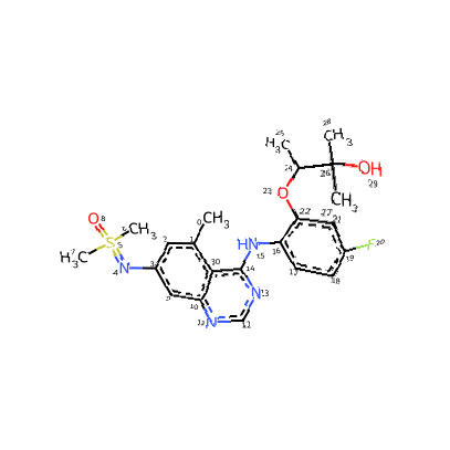 Cc1cc(N=S(C)(C)=O)cc2ncnc(Nc3ccc(F)cc3OC(C)C(C)(C)O)c12